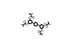 C=C(C)C(=O)Oc1cc(OC(=O)C(=C)C)cc(-c2ccc(-c3cc(OC(=O)C(=C)C)cc(OC(=O)C(=C)C)c3)cc2)c1